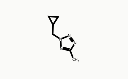 Cc1nnn(CC2CC2)n1